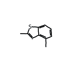 Cc1[c]c2c(C)cccc2s1